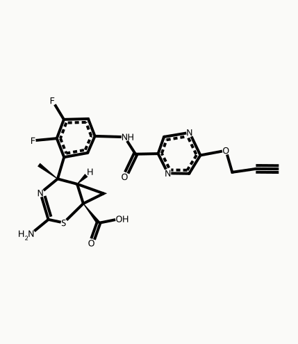 C#CCOc1cnc(C(=O)Nc2cc(F)c(F)c([C@@]3(C)N=C(N)S[C@@]4(C(=O)O)C[C@H]43)c2)cn1